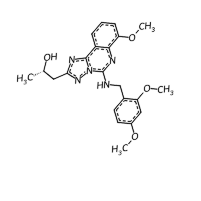 COc1ccc(CNc2nc3c(OC)cccc3c3nc(C[C@H](C)O)nn23)c(OC)c1